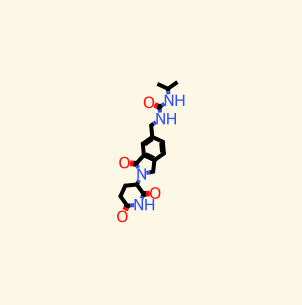 CC(C)NC(=O)NCc1ccc2c(c1)C(=O)N(C1CCC(=O)NC1=O)C2